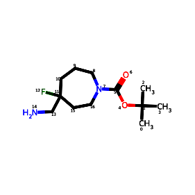 CC(C)(C)OC(=O)N1CCCC(F)(CN)CC1